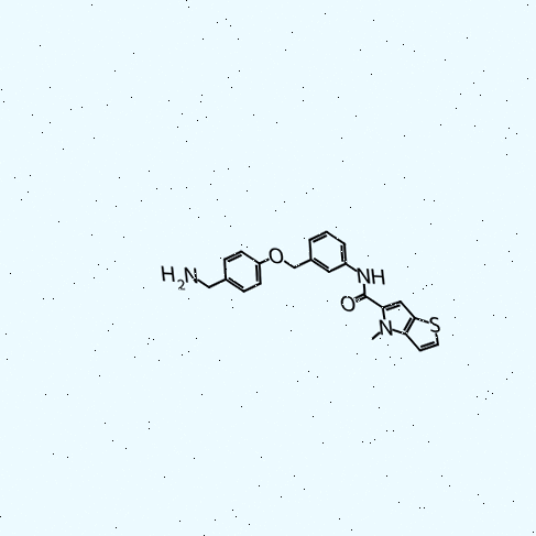 Cn1c(C(=O)Nc2cccc(COc3ccc(CN)cc3)c2)cc2sccc21